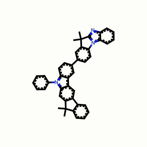 CC1(C)c2ccccc2-c2cc3c4cc(-c5ccc6c(c5)C(C)(C)c5nc7ccccc7n5-6)ccc4n(-c4ccccc4)c3cc21